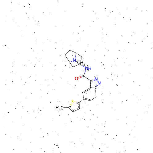 Cc1ccc(C2=CCC3=NN=C(C(=O)NC4CC5CCC(C4)N5C)C3=C2)s1